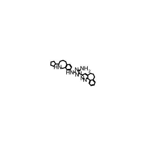 Nc1nc(Nc2ccc3c(c2)CNC(C2CCCC2)CCC3)nn1-c1cc2c(nn1)-c1ccccc1CCC2